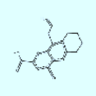 C=CCc1c2c(cc3c(=O)cc(C(=O)O)oc13)CCCC2